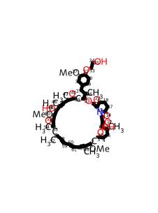 COC1CC2CCC(C)C(O)(O2)C(=O)C(=O)N2CCCCC2C(=O)OC(C(C)CC2CCC(OCCO)C(OC)C2)CC(=O)C(C)/C=C(/C)C(O)C(OC)C(=O)C(C)CC(C)/C=C/C=C/C=C\1C